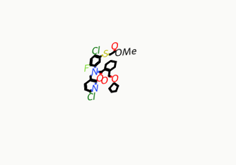 COC(=O)CSc1cc(N(Cc2ccc(Cl)nc2)C(=O)C2=C(C(=O)OC3CCCC3)CCCC2)c(F)cc1Cl